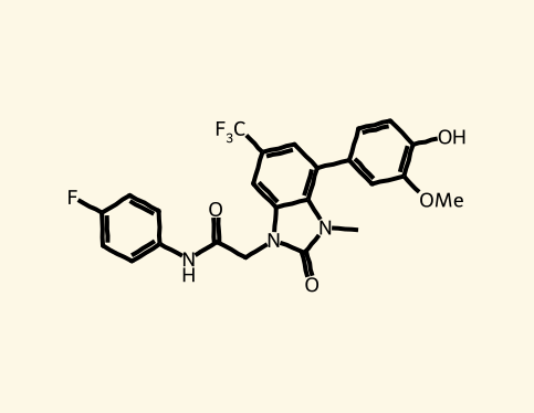 COc1cc(-c2cc(C(F)(F)F)cc3c2n(C)c(=O)n3CC(=O)Nc2ccc(F)cc2)ccc1O